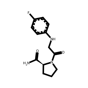 NC(=O)[C@@H]1CCCN1C(=O)CNc1ccc(F)cc1